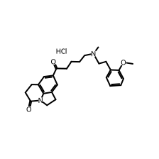 COc1ccccc1CCN(C)CCCCC(=O)c1cc2c3c(c1)CCN3C(=O)CC2.Cl